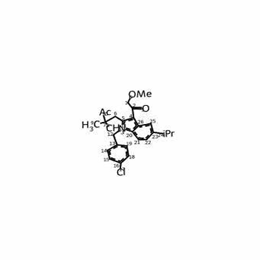 COCC(=O)c1c(CC(C)(C)C(C)=O)n(Cc2ccc(Cl)cc2)c2ccc(C(C)C)cc12